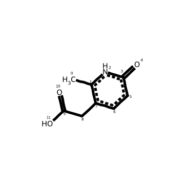 Cc1[nH]c(=O)ccc1CC(=O)O